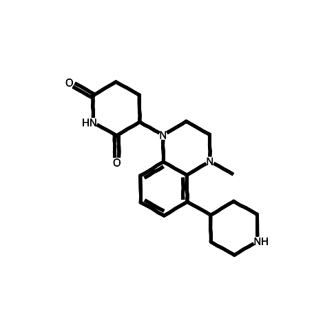 CN1CCN(C2CCC(=O)NC2=O)c2cccc(C3CCNCC3)c21